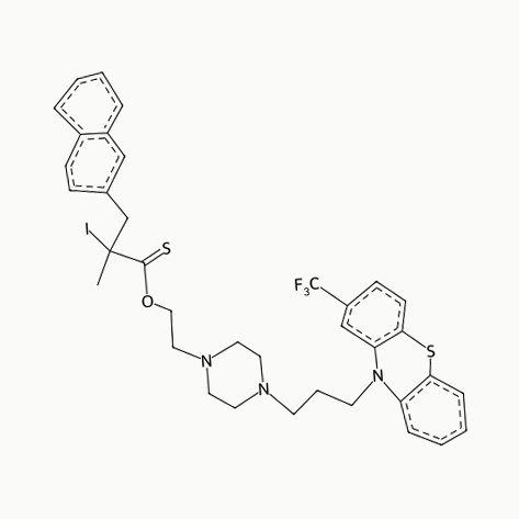 CC(I)(Cc1ccc2ccccc2c1)C(=S)OCCN1CCN(CCCN2c3ccccc3Sc3ccc(C(F)(F)F)cc32)CC1